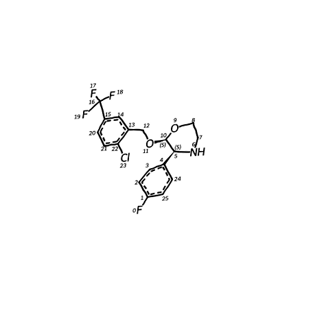 Fc1ccc([C@@H]2NCCO[C@@H]2OCc2cc(C(F)(F)F)ccc2Cl)cc1